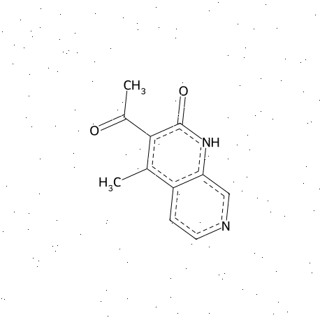 CC(=O)c1c(C)c2ccncc2[nH]c1=O